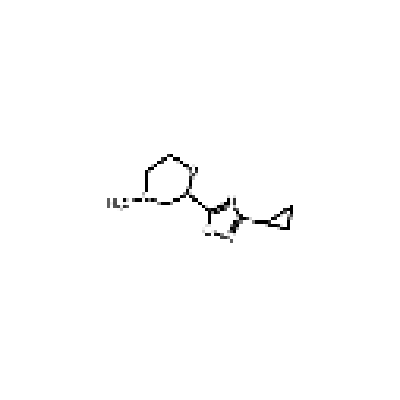 CN1CCOC(c2nc(C3CC3)no2)C1